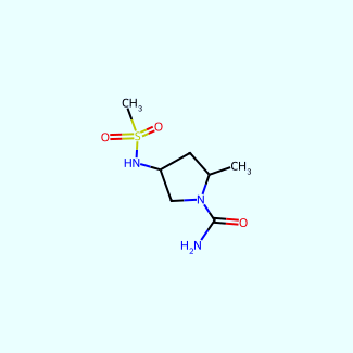 CC1CC(NS(C)(=O)=O)CN1C(N)=O